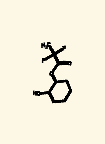 CC(F)(F)C(=O)OC1CCCCC1O